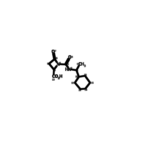 CC(NC(=O)N1C(=O)CC1C(=O)O)C1CCCCC1